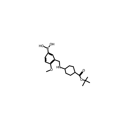 COc1ccc(B(O)O)cc1CNC1CCC(C(=O)OC(C)(C)C)CC1